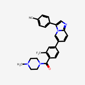 CN1CCN(C(=O)c2ccc(-c3ccc4ncc(-c5ccc(C#N)cc5)n4c3)cc2C(F)(F)F)CC1